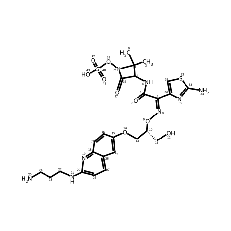 CC1(C)C(NC(=O)/C(=N\O[C@H](CO)COc2ccc3nc(NCCCN)ccc3c2)c2csc(N)n2)C(=O)N1OS(=O)(=O)O